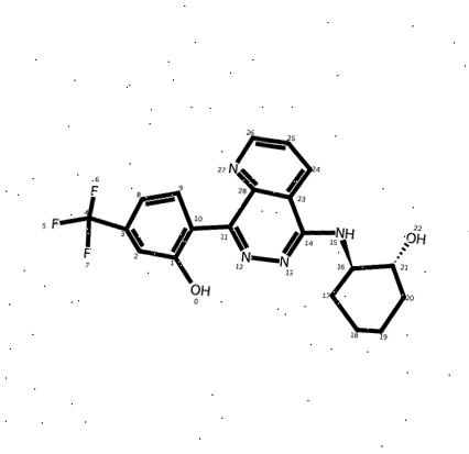 Oc1cc(C(F)(F)F)ccc1-c1nnc(N[C@@H]2CCCC[C@H]2O)c2cccnc12